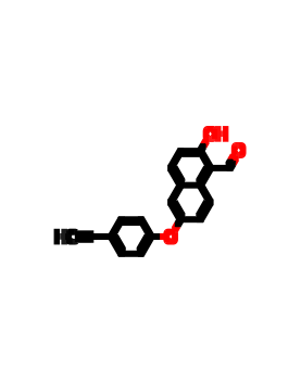 C#Cc1ccc(Oc2ccc3c(C=O)c(O)ccc3c2)cc1